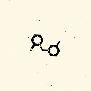 Cc1cccc(Cn2ccccc2=O)c1